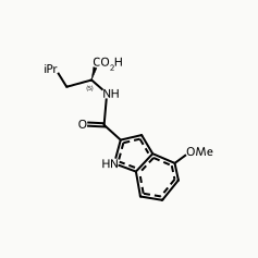 COc1cccc2[nH]c(C(=O)N[C@@H](CC(C)C)C(=O)O)cc12